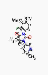 CSc1c(C#N)ccc(N2C(=O)N(c3ccc(C)nc3)C(C)(C)C2=O)c1F